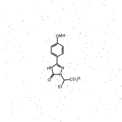 CCC(C(=O)O)n1nc(-c2ccc(OC)cc2)[nH]c1=O